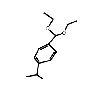 CCOC(OCC)c1ccc(C(C)C)cc1